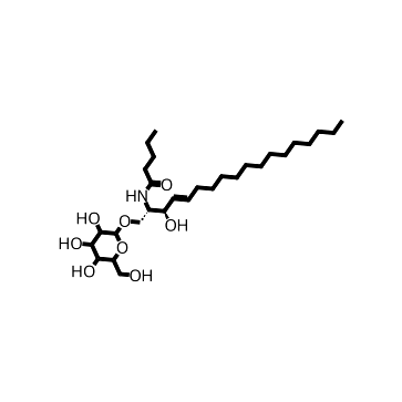 CCCCCCCCCCCCC/C=C/[C@@H](O)[C@H](COC1OC(CO)C(O)C(O)C1O)NC(=O)CCCC